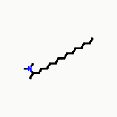 CCCCCCCCCCCCCCC(C)N(C)C